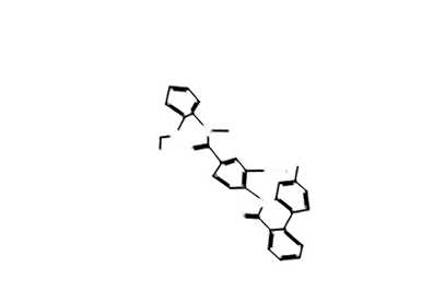 CCOC(=O)COc1ccccc1N(C)C(=O)c1ccc(NC(=O)c2ccccc2-c2ccc(C)cc2)c(OC)c1